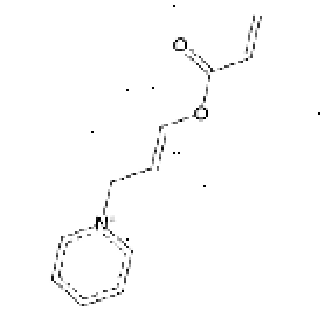 C=CC(=O)OC=CC[n+]1ccccc1